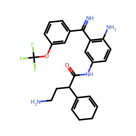 N=C(c1cccc(OC(F)(F)F)c1)c1cc(NC(=O)C(CCN)C2=CCCC=C2)ccc1N